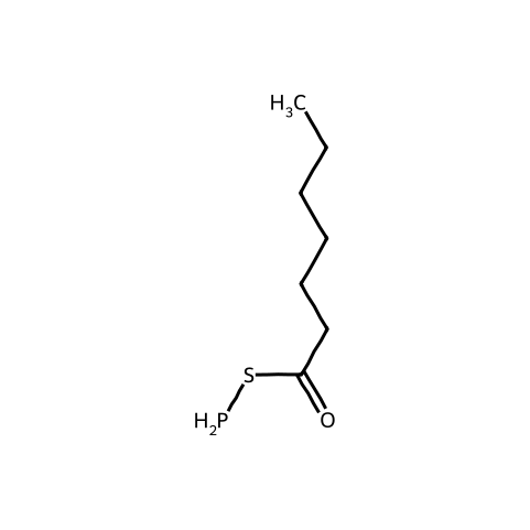 CCCCCCC(=O)SP